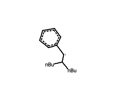 CCCCC([C]c1ccccc1)CCCC